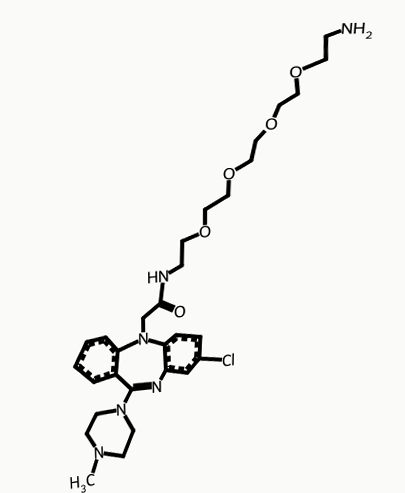 CN1CCN(C2=Nc3cc(Cl)ccc3N(CC(=O)NCCOCCOCCOCCOCCN)c3ccccc32)CC1